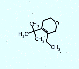 CCC1=C(C(C)(C)C)CCOC1